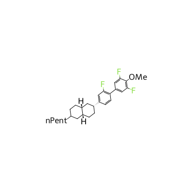 CCCCCC1CC[C@@H]2C[C@H](c3ccc(-c4cc(F)c(OC)c(F)c4)c(F)c3)CC[C@@H]2C1